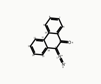 [N-]=[N+]=C1C(=O)c2ccccc2-c2ccccc21